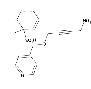 CC1C=CC=CC1(C)S(=O)(=O)O.NCC#CCOCc1ccncc1